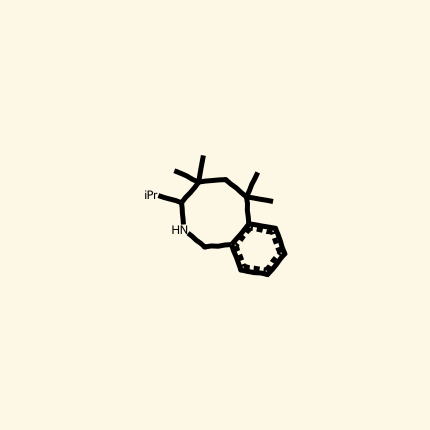 CC(C)C1NCc2ccccc2C(C)(C)CC1(C)C